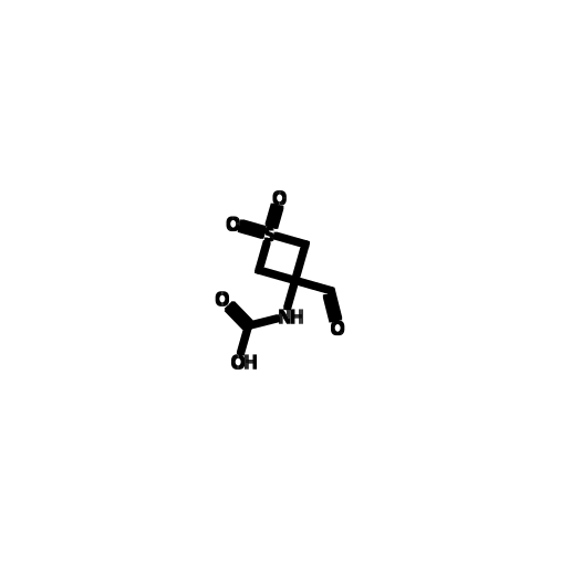 O=CC1(NC(=O)O)CS(=O)(=O)C1